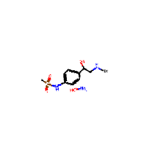 CC(C)NCC(O)c1ccc(NS(C)(=O)=O)cc1.NO